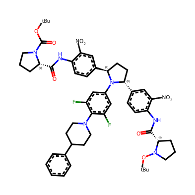 CC(C)(C)OC(=O)N1CCC[C@H]1C(=O)Nc1ccc([C@H]2CC[C@H](c3ccc(NC(=O)[C@@H]4CCCN4OC(C)(C)C)c([N+](=O)[O-])c3)N2c2cc(F)c(N3CCC(c4ccccc4)CC3)c(F)c2)cc1[N+](=O)[O-]